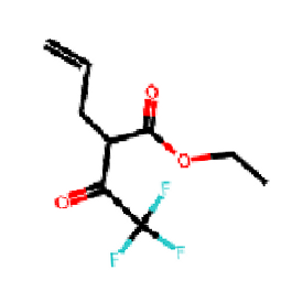 C=CCC(C(=O)OCC)C(=O)C(F)(F)F